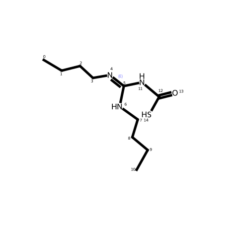 CCCC/N=C(\NCCCC)NC(=O)S